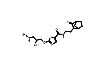 CC(C)NCC(O)COc1ncc(C(=O)NCCC2C(=O)C3CCC2C3)s1